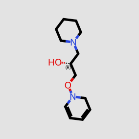 O[C@@H](CON1C=CC=CC1)CN1CCCCC1